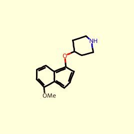 COc1cccc2c(OC3CCNCC3)cccc12